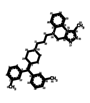 Cc1cccc(C(=C2CCN(CCCN3Cc4nnc(C)n4-c4ccccc43)CC2)c2cccc(C)c2)c1